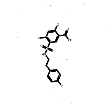 O=C(O)c1cc(S(=O)(=O)NCCc2ccc(Cl)cc2)c(Cl)cc1Cl